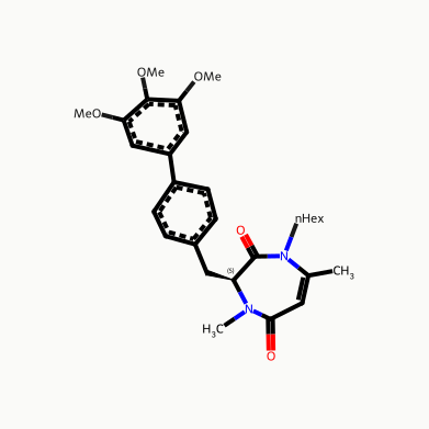 CCCCCCN1C(=O)[C@H](Cc2ccc(-c3cc(OC)c(OC)c(OC)c3)cc2)N(C)C(=O)C=C1C